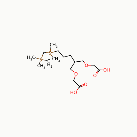 CS(C)(C)CS(C)(C)CCCC(COCC(=O)O)COCC(=O)O